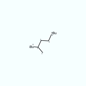 CCC(C)C(C)[CH]CC(C)(C)C